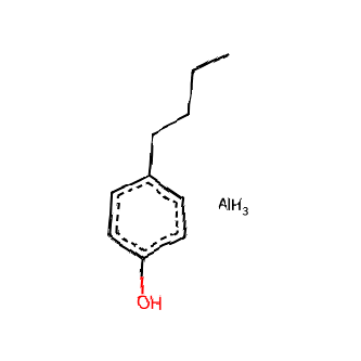 CCCCc1ccc(O)cc1.[AlH3]